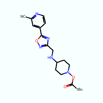 CC(C)(C)C(=O)ON1CCC(NCc2noc(-c3ccnc(C#N)c3)n2)CC1